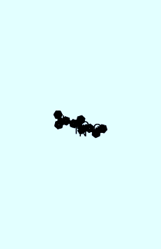 c1ccc(-n2c3ccccc3c3cc(-c4ccc5c(c4)c4ccccc4n5-c4ncnc5c4oc4ccc(-c6cccc7c6oc6ccccc67)cc45)ccc32)cc1